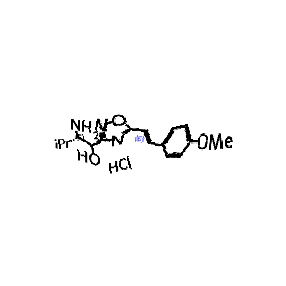 COc1ccc(/C=C/c2nc(C(O)[C@@H](N)C(C)C)no2)cc1.Cl